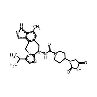 Cc1cc2c(c3cn[nH]c13)Cn1c(C(C)C)cnc1[C@H](NC(=O)N1CCC(N3CC(=O)NC3=O)CC1)C2